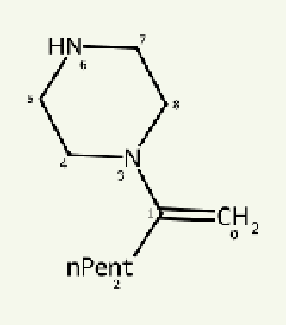 C=C(CCCCC)N1CCNCC1